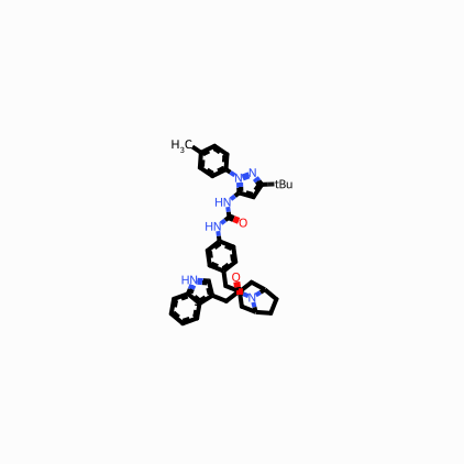 Cc1ccc(-n2nc(C(C)(C)C)cc2NC(=O)Nc2ccc(CC3CC4CCC(C3)N4C(=O)Cc3c[nH]c4ccccc34)cc2)cc1